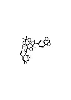 CC1(C)O[C@H]2[C@H](n3ccc4cncnc43)O[C@](C)(Cc3ccc4c(c3)OCO4)[C@@H]2O1